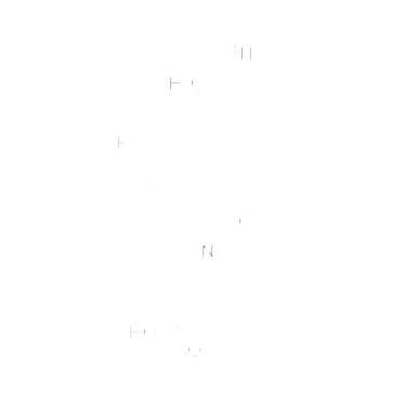 CC(C)c1ccccc1-c1c[c]c(F)c(F)c1/C=C/C(=O)N1CCC(C(=O)O)CC1